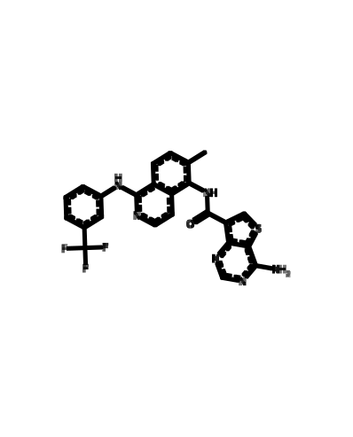 Cc1ccc2c(Nc3cccc(C(F)(F)F)c3)nccc2c1NC(=O)c1csc2c(N)ncnc12